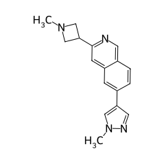 CN1CC(c2cc3cc(-c4cnn(C)c4)ccc3cn2)C1